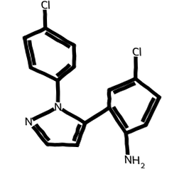 Nc1ccc(Cl)cc1-c1ccnn1-c1ccc(Cl)cc1